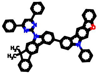 CC1(C)c2ccccc2-c2cc3c4cc(-c5ccc6c(c5)c5cc7c(cc5n6-c5ccccc5)oc5ccccc57)ccc4n(-c4nc(-c5ccccc5)cc(-c5ccccc5)n4)c3cc21